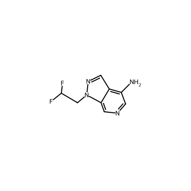 Nc1cncc2c1cnn2CC(F)F